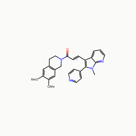 COc1cc2c(cc1OC)CN(C(=O)/C=C/c1c(-c3ccncc3)n(C)c3ncccc13)CC2